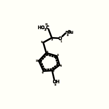 CCCCOC(Cc1ccc(O)cc1)C(=O)O